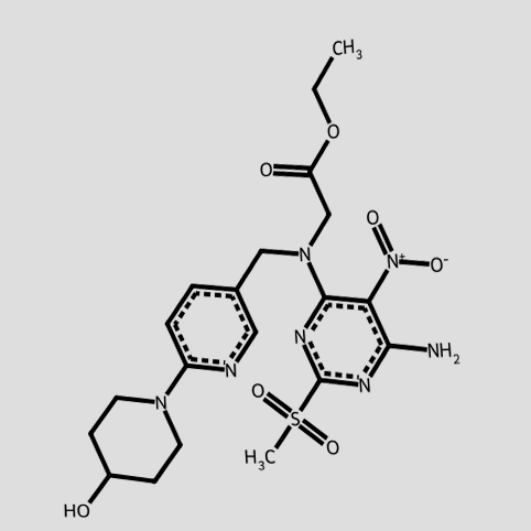 CCOC(=O)CN(Cc1ccc(N2CCC(O)CC2)nc1)c1nc(S(C)(=O)=O)nc(N)c1[N+](=O)[O-]